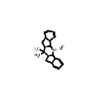 CC1(C)C2CC3C=CC=CC3[CH]2[Zr+2][CH]2C3C=CC=CC3CC21.[Cl-].[Cl-]